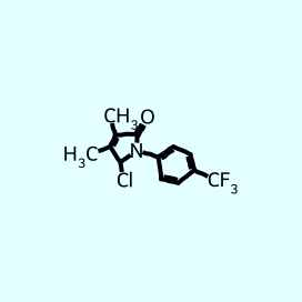 CC1=C(C)C(Cl)N(c2ccc(C(F)(F)F)cc2)C1=O